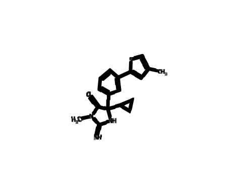 Cc1csc(-c2cccc(C3(C4CC4)NC(=N)N(C)C3=O)c2)c1